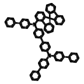 c1ccc(-c2ccc(N(c3ccc(-c4ccccc4)cc3)c3ccc(-c4ccc(N(c5ccc(-c6ccccc6)cc5)c5cccc6c5-c5ccccc5C65c6ccccc6-c6ccccc65)cc4)cc3)cc2)cc1